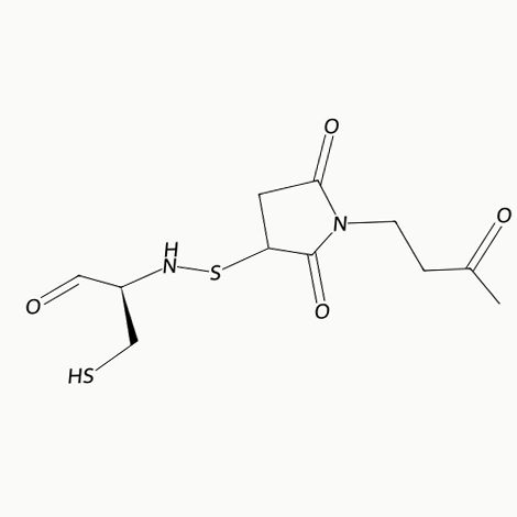 CC(=O)CCN1C(=O)CC(SN[C@H](C=O)CS)C1=O